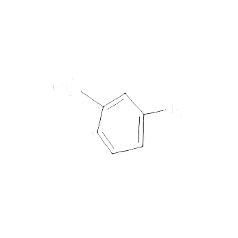 [CH2]c1cccc(C(=O)O)c1